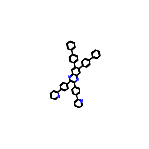 c1ccc(-c2ccc(-c3cc4nc(-c5ccc(-c6ccccn6)cc5)c(-c5ccc(-c6ccccn6)cc5)nc4cc3-c3ccc(-c4ccccc4)cc3)cc2)cc1